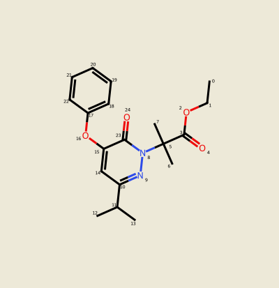 CCOC(=O)C(C)(C)n1nc(C(C)C)cc(Oc2ccccc2)c1=O